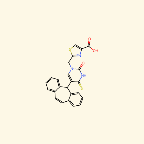 O=C(O)c1csc(Cn2cc(C3c4ccccc4C=Cc4ccccc43)c(=S)[nH]c2=O)n1